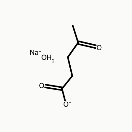 CC(=O)CCC(=O)[O-].O.[Na+]